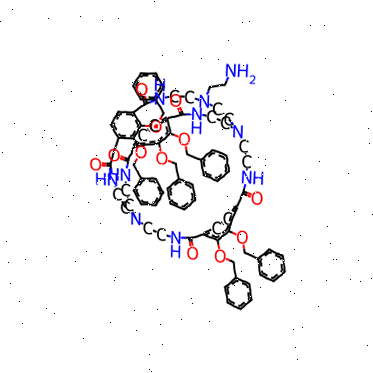 NCCN1CCNC(=O)c2ccc(c(OCc3ccccc3)c2OCc2ccccc2)C(=O)NCCN2CCNC(=O)c3ccc(c(OCc4ccccc4)c3OCc3ccccc3)C(=O)NCCN(CCNC(=O)c3ccc(c(OCc4ccccc4)c3OCc3ccccc3)C(=O)NCC2)CC1